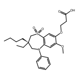 CCCC[C@]1(CC)CN(c2ccccc2)c2cc(OC)c(OCCC(=O)O)cc2S(=O)(=O)C1